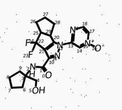 O=C(NC1(CO)CCCC1)c1nn(-c2c[n+]([O-])ccn2)c2c1C(F)(F)C1CCCC21